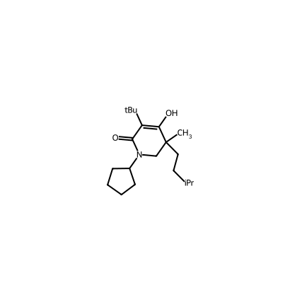 CC(C)CCC1(C)CN(C2CCCC2)C(=O)C(C(C)(C)C)=C1O